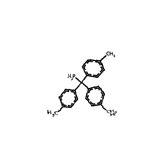 Cc1ccc(C(P)(c2ccc(C)cc2)c2ccc(C)cc2)cc1.I